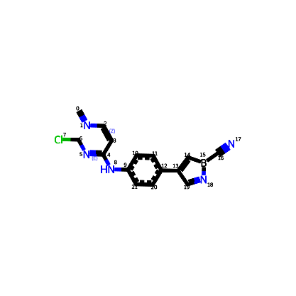 C=N/C=C\C(=N/CCl)Nc1ccc(C2=CB(C#N)N=C2)cc1